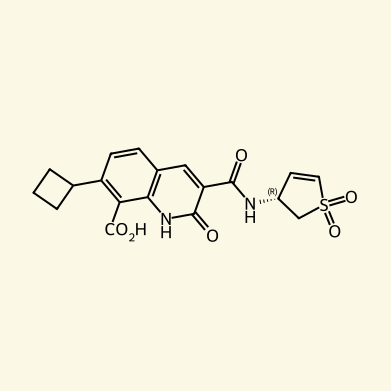 O=C(N[C@@H]1C=CS(=O)(=O)C1)c1cc2ccc(C3CCC3)c(C(=O)O)c2[nH]c1=O